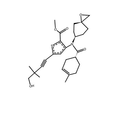 COC(=O)c1sc(C#CC(C)(C)CO)cc1N(C(=O)[C@H]1CC=C(C)CC1)[C@H]1CC[C@]2(CC1)CO2